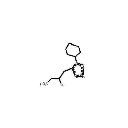 O=C(O)CC(S)Cc1nnnn1C1CCCCC1